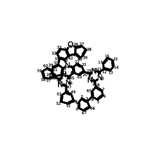 c1ccc(-c2cccc(-c3nc(-c4ccccc4)nc(-c4ccc(-n5c6ccccc6c6ccc7oc8ccccc8c7c65)c(-c5nc(-c6ccccc6)nc(-c6ccccc6)n5)c4)n3)c2)cc1